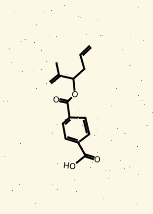 C=CCC(OC(=O)c1ccc(C(=O)O)cc1)C(=C)C